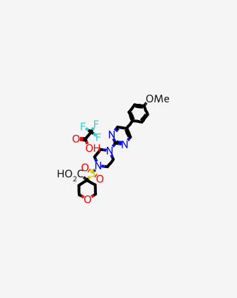 COc1ccc(-c2cnc(N3CCN(S(=O)(=O)C4(C(=O)O)CCOCC4)CC3)nc2)cc1.O=C(O)C(F)(F)F